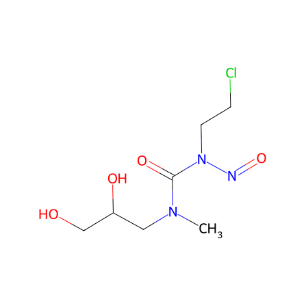 CN(CC(O)CO)C(=O)N(CCCl)N=O